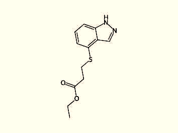 CCOC(=O)CCSc1cccc2[nH]ncc12